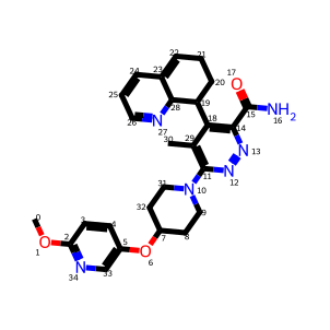 COc1ccc(OC2CCN(c3nnc(C(N)=O)c(C4CCC=C5C=CC=NC54)c3C)CC2)cn1